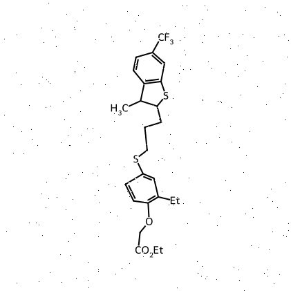 CCOC(=O)COc1ccc(SCCCC2Sc3cc(C(F)(F)F)ccc3C2C)cc1CC